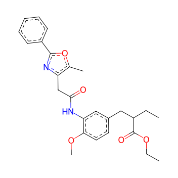 CCOC(=O)C(CC)Cc1ccc(OC)c(NC(=O)Cc2nc(-c3ccccc3)oc2C)c1